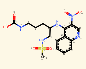 CS(=O)(=O)NCC(CCCNC(=O)O)Nc1c([N+](=O)[O-])cnc2ccccc12